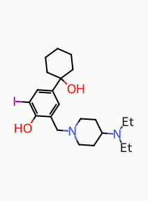 CCN(CC)C1CCN(Cc2cc(C3(O)CCCCC3)cc(I)c2O)CC1